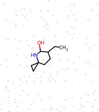 CCC1CCC2(CC2)NC1O